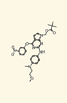 COCCN(C)c1ccc(Nc2nc(Oc3cccc([N+](=O)[O-])c3)c3ccn(COC(=O)C(C)(C)C)c3n2)cc1